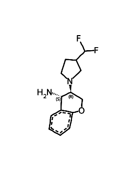 N[C@H]1c2ccccc2OC[C@@H]1N1CCC(C(F)F)C1